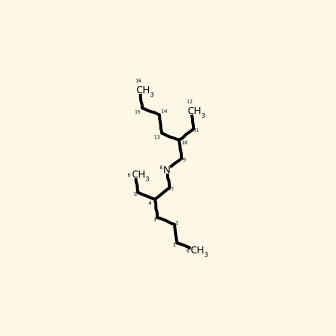 CCCCC(CC)C[N]CC(CC)CCCC